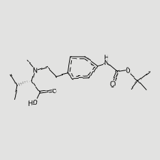 CC(C)[C@@H](C(=O)O)N(C)CCc1ccc(NC(=O)OC(C)(C)C)cc1